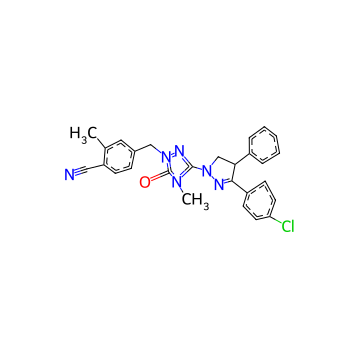 Cc1cc(Cn2nc(N3CC(c4ccccc4)C(c4ccc(Cl)cc4)=N3)n(C)c2=O)ccc1C#N